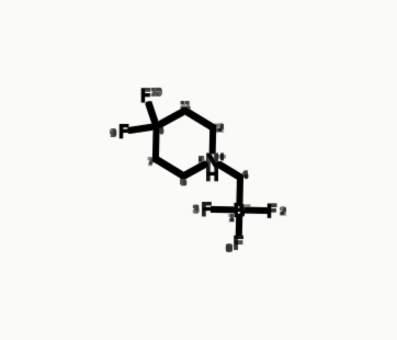 F[B-](F)(F)C[NH+]1CCC(F)(F)CC1